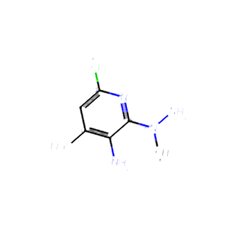 Cc1cc(Cl)nc(N(C)N)c1N